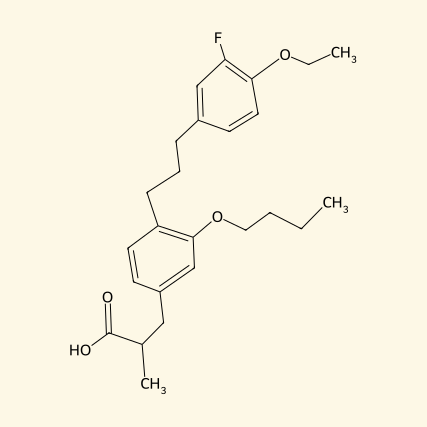 CCCCOc1cc(CC(C)C(=O)O)ccc1CCCc1ccc(OCC)c(F)c1